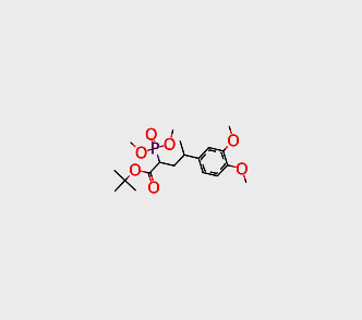 COc1ccc(C(C)CC(C(=O)OC(C)(C)C)P(=O)(OC)OC)cc1OC